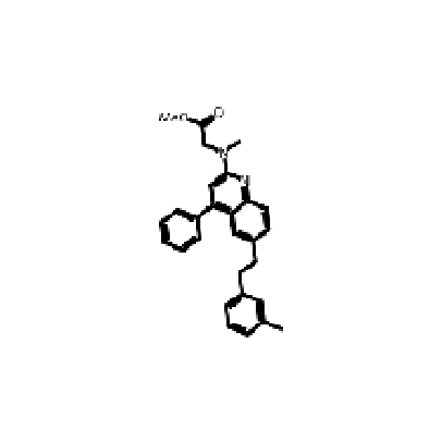 COC(=O)CN(C)c1cc(-c2ccccc2)c2cc(CCc3cccc(C)c3)ccc2n1